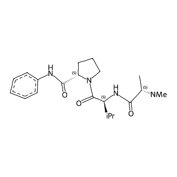 CN[C@@H](C)C(=O)N[C@H](C(=O)N1CCC[C@H]1C(=O)Nc1ccccc1)C(C)C